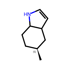 C[C@H]1CCC2NC=CC2C1